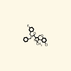 Cn1nc(C(=O)N(Cc2ccccc2)Cc2cccc(F)c2)c2c1-c1cc(Cl)ccc1OC2